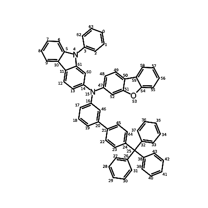 c1ccc(-n2c3ccccc3c3ccc(N(c4cccc(-c5ccc(C(c6ccccc6)(c6ccccc6)c6ccccc6)cc5)c4)c4ccc5c(c4)oc4ccccc45)cc32)cc1